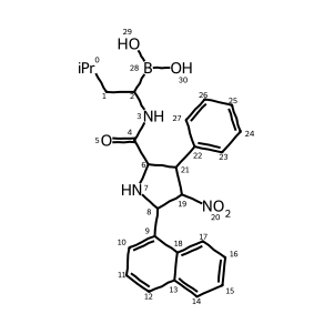 CC(C)CC(NC(=O)C1NC(c2cccc3ccccc23)C([N+](=O)[O-])C1c1ccccc1)B(O)O